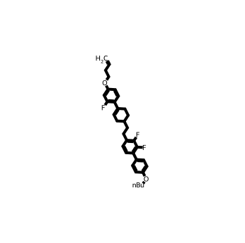 C=CCCOc1ccc(C2=CCC(CCc3ccc(-c4ccc(OCCCC)cc4)c(F)c3F)CC2)c(F)c1